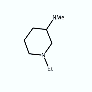 CCN1CCCC(NC)C1